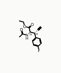 C#C[C@H](c1ccc(F)cc1)[C@H](NC(C)=O)C(=O)OCC